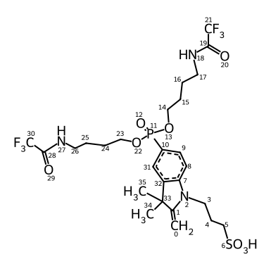 C=C1N(CCCS(=O)(=O)O)c2ccc(P(=O)(OCCCCNC(=O)C(F)(F)F)OCCCCNC(=O)C(F)(F)F)cc2C1(C)C